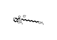 C=[N+]1CCOCC1C(=O)OCCCCCCCCCCCC.[Cl-]